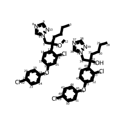 CCCCC(Cn1cncn1)(OC)c1ccc(Oc2ccc(Cl)cc2)cc1Cl.CCCCC(O)(Cn1cncn1)c1ccc(Oc2ccc(Cl)cc2)cc1Cl